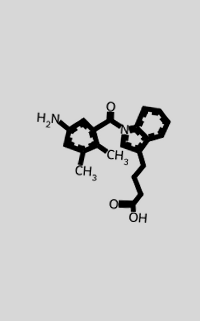 Cc1cc(N)cc(C(=O)n2cc(CCCC(=O)O)c3ccccc32)c1C